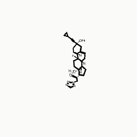 C[C@]12CC[C@H]3[C@@H](CC=C4C[C@](O)(C#CC5CC5)CC[C@@H]43)[C@@H]1CC[C@@H]2C(=O)Cn1ncnn1